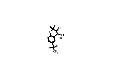 CC1(C)Oc2ccc(C(F)(F)C(F)(F)F)cc2C(N)C1O.Cl